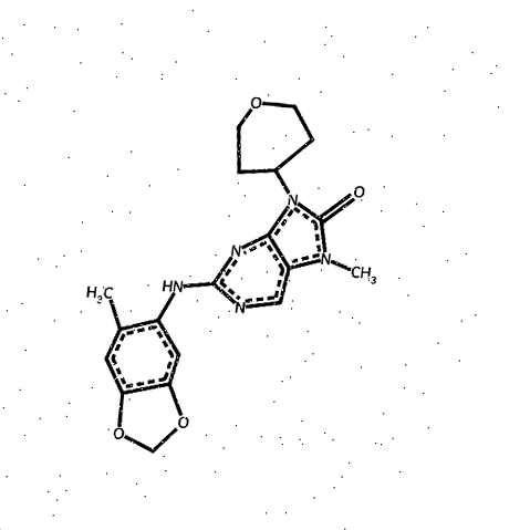 Cc1cc2c(cc1Nc1ncc3c(n1)n(C1CCOCC1)c(=O)n3C)OCO2